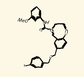 COc1cccc(NC(=O)N2CCOc3ccc(COCc4ccc(F)cc4)cc3C2)c1